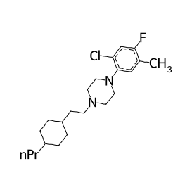 CCCC1CCC(CCN2CCN(c3cc(C)c(F)cc3Cl)CC2)CC1